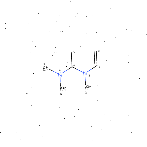 C=CN(C(C)C)C(C)N(CC)C(C)C